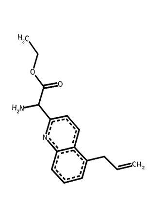 C=CCc1cccc2nc(C(N)C(=O)OCC)ccc12